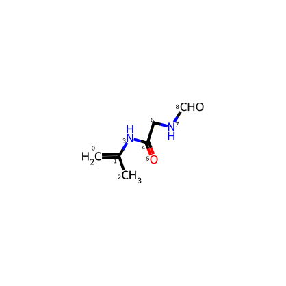 C=C(C)NC(=O)CNC=O